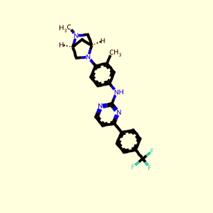 Cc1cc(Nc2nccc(-c3ccc(C(F)(F)F)cc3)n2)ccc1N1C[C@@H]2C[C@H]1CN2C